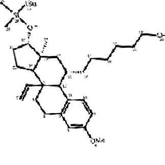 C=CC12CCc3cc(OC)ccc3C1[C@@H](CCCCCCC=O)C[C@@]1(C)C2CC[C@@H]1O[Si](C)(C)C(C)(C)C